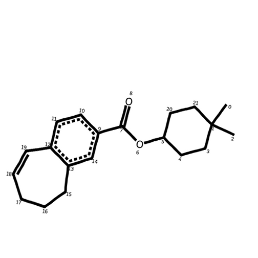 CC1(C)CCC(OC(=O)c2ccc3c(c2)CCCC=C3)CC1